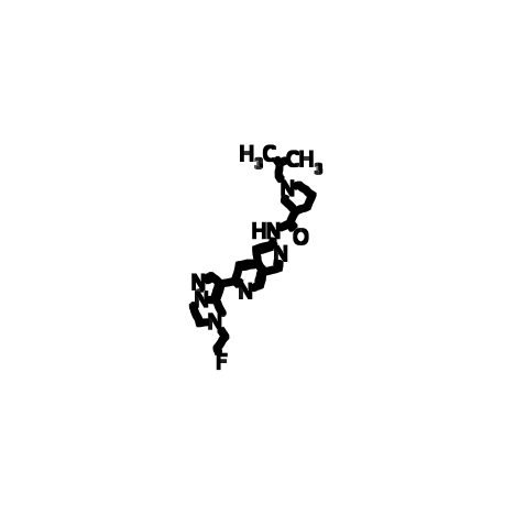 CC(C)CN1CCCC(C(=O)Nc2cc3cc(-c4cnn5c4CN(CCF)CC5)ncc3cn2)C1